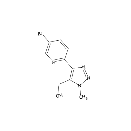 Cn1nnc(-c2ccc(Br)cn2)c1CO